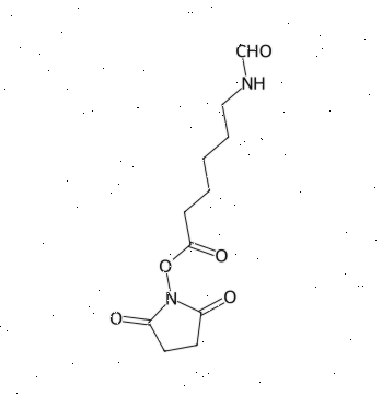 O=CNCCCCCC(=O)ON1C(=O)CCC1=O